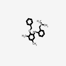 Cc1cc(C)c(OCc2ccccc2)c(Pc2ccccc2CN(C)C)c1